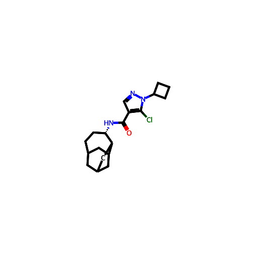 O=C(N[C@H]1CCC2CC3CC(C2)C1C3)c1cnn(C2CCC2)c1Cl